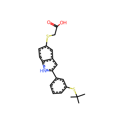 CC(C)(C)Sc1cccc(-c2cc3cc(SCC(=O)O)ccc3[nH]2)c1